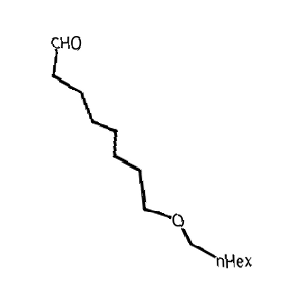 CCCCCCCOCCCCCCCC=O